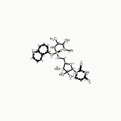 CC(C)OC(O)C(C)NP(=S)(OC[C@H]1O[C@@H](n2ccc(=O)[nH]c2=O)[C@](C)(O)[C@@H]1O)Oc1cccc2ncccc12